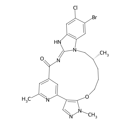 Cc1cc2cc(n1)-c1cnn(C)c1OCCC[C@@H](C)CN1/C(=N/C2=O)Nc2cc(Cl)c(Br)cc21